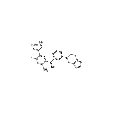 CN/C=C(\C=N)c1cc(C(=N)c2cc(N3CCn4ncnc4C3)ncn2)c(N)cc1F